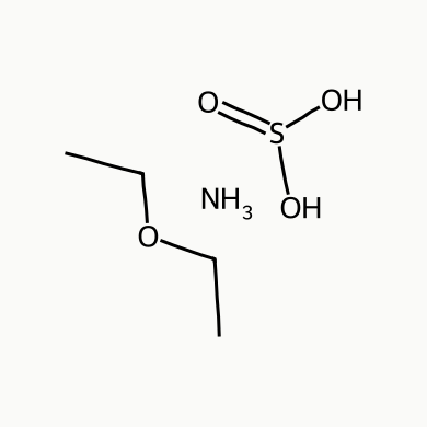 CCOCC.N.O=S(O)O